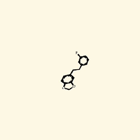 Fc1cc[c]c(CCc2ccc3c(c2)OCO3)c1